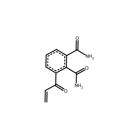 C=CC(=O)c1cccc(C(N)=O)c1C(N)=O